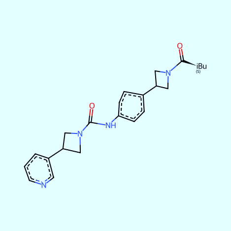 CC[C@H](C)C(=O)N1CC(c2ccc(NC(=O)N3CC(c4cccnc4)C3)cc2)C1